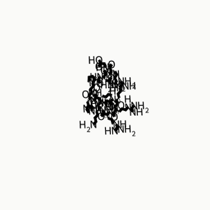 CCCC[C@H](NC(=O)[C@H](CCCCN)NC(=O)[C@H](CCCNC(=N)N)NC(=O)[C@H](CCCNC(=N)N)NC(=O)[C@H](CCCNC(=N)N)NC(=O)CN)C(=O)N[C@@H](Cc1c[nH]cn1)C(=O)NCC(=O)N1CCC[C@H]1C(=O)N[C@@H](CC(N)=O)C(=O)N[C@@H](CCCCN)C(=O)NCC(=O)O